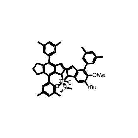 COc1c(C(C)(C)C)cc2c(c1-c1cc(C)cc(C)c1)C=C(C)[CH]2[Zr]([Cl])([Cl])([CH]1C(C)=Cc2c(-c3cc(C)cc(C)c3)c3c(c(-c4cc(C)cc(C)c4)c21)CCC3)=[Si](C)C